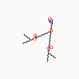 CCCCCC(CCCCC)CCOC(=O)CCCCCCCCC(CCCCCCCCC(=O)OCCC(CCCCC)CCCCC)OCCCCN1CCOCC1